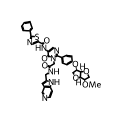 CO[C@@H]1CO[C@H]2[C@@H]1OC[C@H]2Oc1ccc(-c2ncc(NC(=O)c3cnc(-c4ccccc4)s3)c(=O)n2CC(=O)NCc2cc3cnccc3[nH]2)cc1